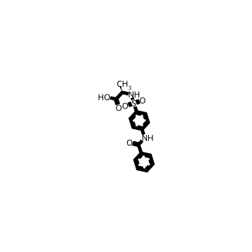 C[C@H](NS(=O)(=O)c1ccc(NC(=O)c2ccccc2)cc1)C(=O)O